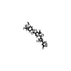 CCO[C@]1(C(F)(F)F)CC[C@H](NC(=O)C2CCN(C(=O)c3cc(-c4cc(C)ncn4)[nH]n3)C3(CC3)C2)CC1